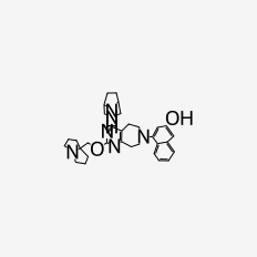 Oc1cc(N2CCc3nc(OCC45CCCN4CCC5)nc(N4CC5CCC(C4)N5)c3CC2)c2ccccc2c1